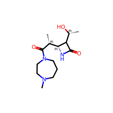 C[C@@H](O)C1C(=O)N[C@@H]1[C@@H](C)C(=O)N1CCCN(C)CC1